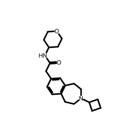 O=C(Cc1ccc2c(c1)CCN(C1CCC1)CC2)NC1CCOCC1